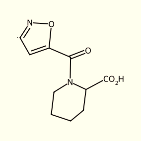 O=C(O)C1CCCCN1C(=O)c1c[c]no1